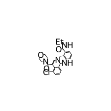 CCNC(=O)c1cccc(Nc2ncc(C(=O)N3CCOCC3)c3c(Cl)cccc23)c1C